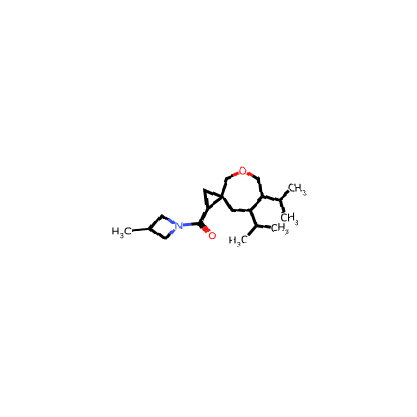 CC1CN(C(=O)C2CC23COCC(C(C)C)C(C(C)C)C3)C1